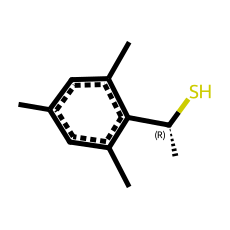 Cc1cc(C)c([C@@H](C)S)c(C)c1